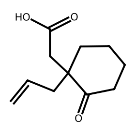 C=CCC1(CC(=O)O)CCCCC1=O